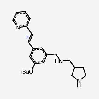 CC(C)COc1cc(/C=C/c2ccccn2)cc(CNCC2CCNC2)c1